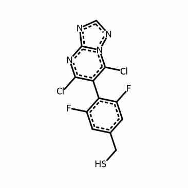 Fc1cc(CS)cc(F)c1-c1c(Cl)nc2ncnn2c1Cl